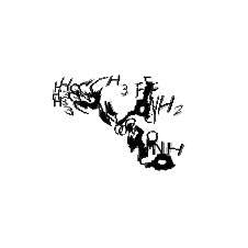 CN1C(C)(C)CC(N2CCN(C(=O)[C@@H](Cc3cc(Cl)c(N)c(C(F)(F)F)c3)OC(=O)N3CCC(N4CCc5ccccc5NC4=O)CC3)CC2)CC1(C)C